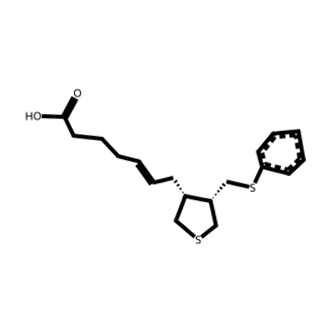 O=C(O)CCCC=CC[C@H]1CSC[C@H]1CSc1ccccc1